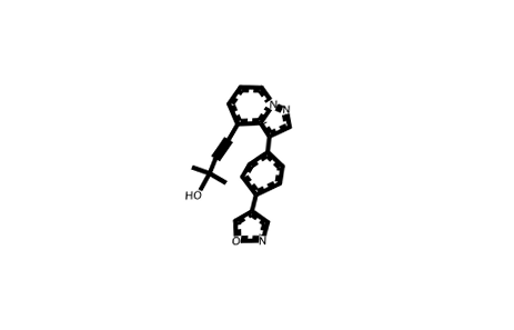 CC(C)(O)C#Cc1cccn2ncc(-c3ccc(-c4cnoc4)cc3)c12